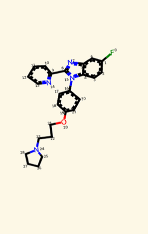 Fc1ccc2c(c1)nc(-c1ccccn1)n2-c1ccc(OCCCN2CCCC2)cc1